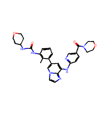 Cc1c(NC(=O)NC2CCOCC2)cccc1-c1cc(Nc2ccc(C(=O)N3CCOCC3)cn2)c2nccn2c1